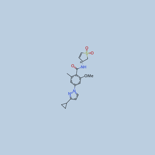 COc1cc(-n2ccc(C3CC3)n2)cc(C)c1C(=O)N[C@@H]1C=CS(=O)(=O)C1